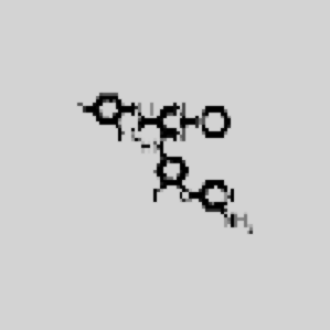 Nc1cc(Oc2ccc(Nc3nc(N4CCCCC4)ncc3C(=O)Nc3ccc(F)cc3F)cc2F)ccn1